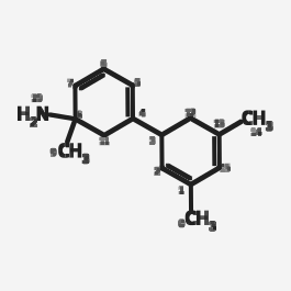 CC1=CC(C2=CC=CC(C)(N)C2)CC(C)=C1